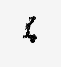 COc1c(C(=O)N2CCC(Nc3ccc(CCNC[C@H](O)COc4cccc(NC(C)=O)c4)cc3)CC2)sc2ccccc12